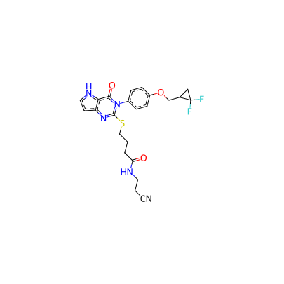 N#CCCNC(=O)CCCSc1nc2cc[nH]c2c(=O)n1-c1ccc(OCC2CC2(F)F)cc1